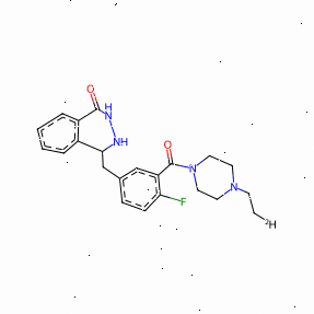 [2H]CCN1CCN(C(=O)c2cc(CC3NNC(=O)c4ccccc43)ccc2F)CC1